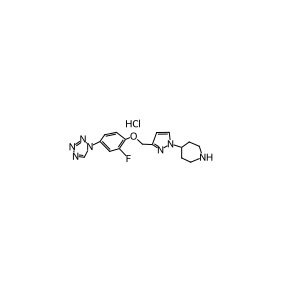 Cl.Fc1cc(-n2cnnn2)ccc1OCc1ccn(C2CCNCC2)n1